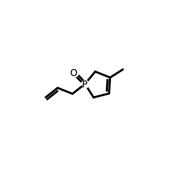 C=CCP1(=O)CC=C(C)C1